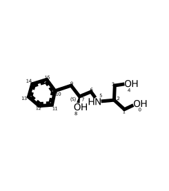 OCC(CO)NC[C@@H](O)Cc1ccccc1